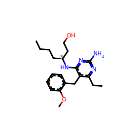 CCCC[C@@H](CCO)Nc1nc(N)nc(CC)c1Cc1ccccc1OC